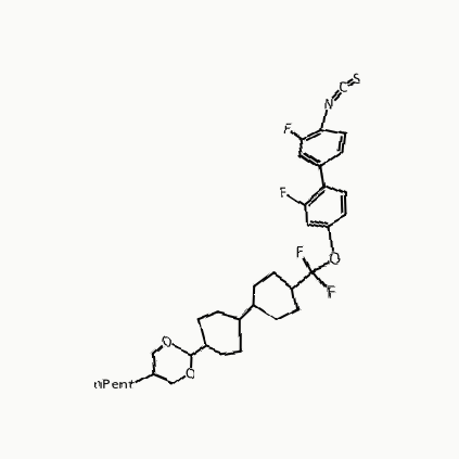 CCCCCC1COC(C2CCC(C3CCC(C(F)(F)Oc4ccc(-c5ccc(N=C=S)c(F)c5)c(F)c4)CC3)CC2)OC1